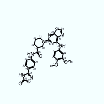 COc1ccc(Nc2nc(N3CCCC(C(=O)Nc4ccc(-c5noc(=O)[nH]5)cc4)C3)nc3scnc23)cc1OC